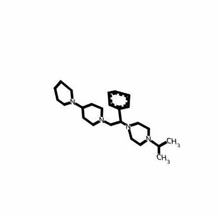 CC(C)N1CCN(C(CN2CCC(N3CCCCC3)CC2)c2ccccc2)CC1